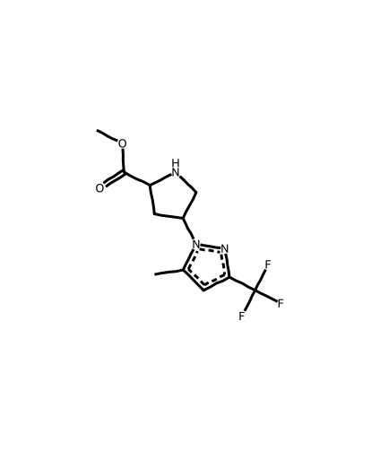 COC(=O)C1CC(n2nc(C(F)(F)F)cc2C)CN1